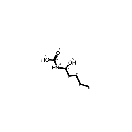 CCCCC(O)NC(=O)O